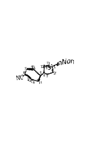 CCCCCCCCC[SiH]1CCC(c2ccc(C#N)cc2)CC1